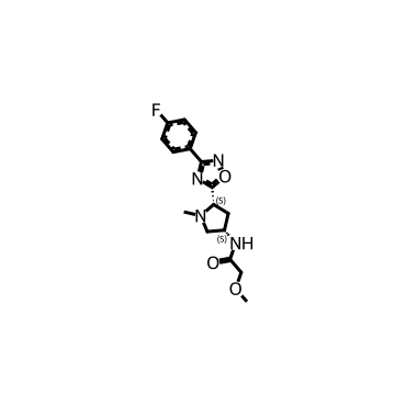 COCC(=O)N[C@H]1C[C@@H](c2nc(-c3ccc(F)cc3)no2)N(C)C1